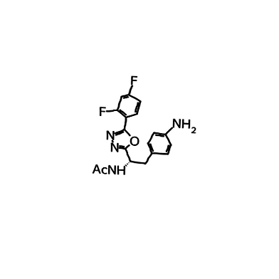 CC(=O)N[C@@H](Cc1ccc(N)cc1)c1nnc(-c2ccc(F)cc2F)o1